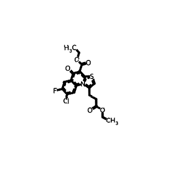 CCOC(=O)CCc1csc2c(C(=O)OCC)c(=O)c3cc(F)c(Cl)cc3n12